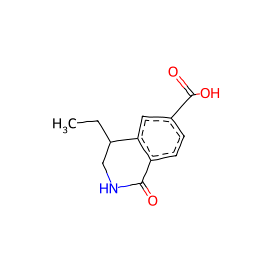 CCC1CNC(=O)c2ccc(C(=O)O)cc21